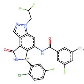 O=C(Nc1cc2c(cnn2CC(F)F)c2c1[C@@H](c1cc(F)ccc1Cl)NC2=O)c1cc(F)cc(C(F)(F)F)c1